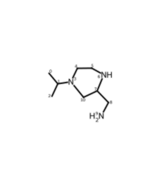 CC(C)N1CCNC(CN)C1